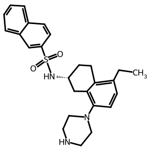 CCc1ccc(N2CCNCC2)c2c1CC[C@@H](NS(=O)(=O)c1ccc3ccccc3c1)C2